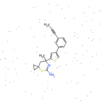 CC#Cc1cccc(-c2csc(C3(C)CC4(CC4)SC(N)=N3)c2)c1